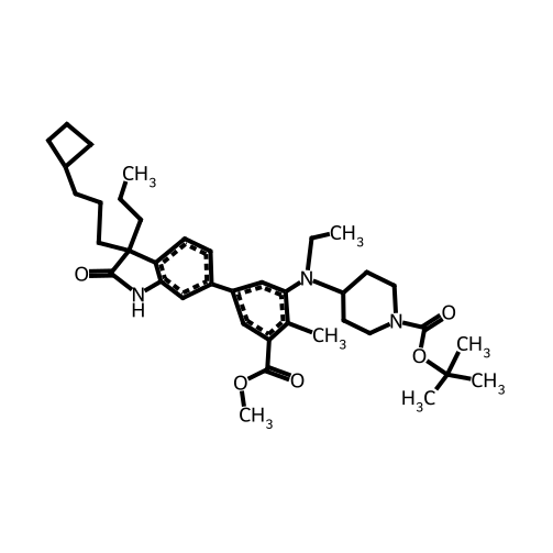 CCCC1(CCCC2CCC2)C(=O)Nc2cc(-c3cc(C(=O)OC)c(C)c(N(CC)C4CCN(C(=O)OC(C)(C)C)CC4)c3)ccc21